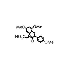 COc1ccc(-c2cc3c(OC)cc(OC)cc3n(CC(=O)O)c2=O)cc1